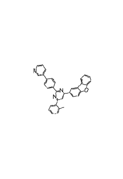 Cc1ccccc1-c1cc(-c2ccc3oc4ccccc4c3c2)nc(-c2ccc(-c3cccnc3)cc2)n1